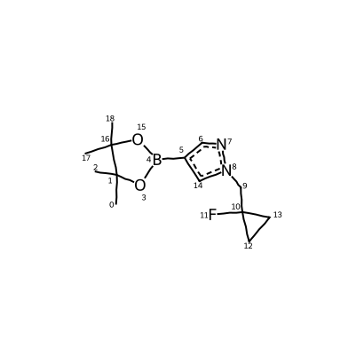 CC1(C)OB(c2cnn(CC3(F)CC3)c2)OC1(C)C